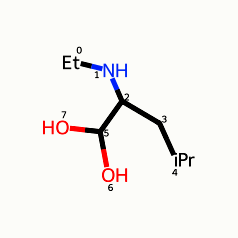 CCNC(CC(C)C)C(O)O